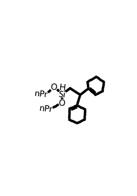 CCCO[SiH](CC(C1=CCCCC1)C1=CCCCC1)OCCC